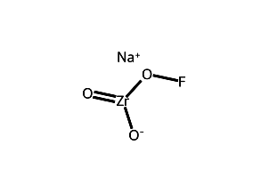 [Na+].[O]=[Zr]([O-])[O]F